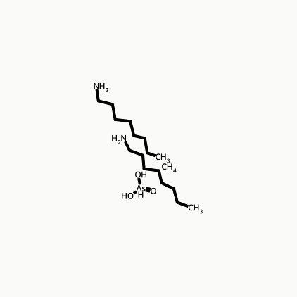 C.CCCCCCCCN.CCCCCCCCN.O=[AsH](O)O